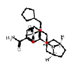 CS(=O)(=O)N(CCN1[C@@H]2CC[C@H]1C[C@@H](c1cccc(C(N)=O)c1)C2)CC1CCCC1